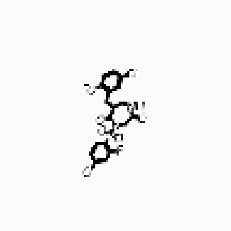 COc1ccc(Cl)cc1CC1CNC(=O)CN(S(=O)(=O)c2ccc(Cl)cc2F)C1=O